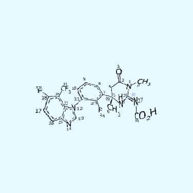 CN1C(=O)C[C@@](C)(c2cccc(-n3cnc4ccc(F)c(C(F)(F)F)c43)c2F)N/C1=N\C(=O)O